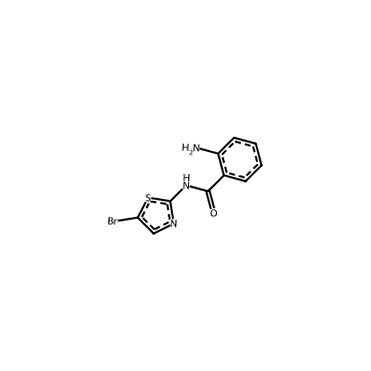 Nc1ccccc1C(=O)Nc1ncc(Br)s1